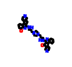 O=C1c2cnccc2-c2c1c(NCCCN1CCN(CCCNc3nc4c(c5c3C=c3cnccc3=5)=CC=CC4=O)CC1)nc1ccccc21